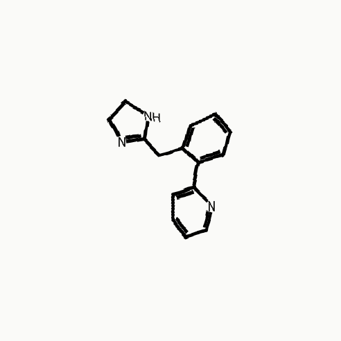 c1ccc(-c2ccccc2CC2=NCCN2)nc1